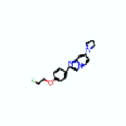 FCCOc1ccc(-c2cn3ccc(N4CCC4)cc3n2)cc1